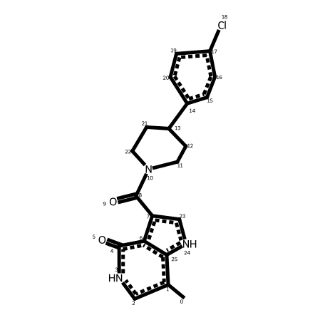 Cc1c[nH]c(=O)c2c(C(=O)N3CCC(c4ccc(Cl)cc4)CC3)c[nH]c12